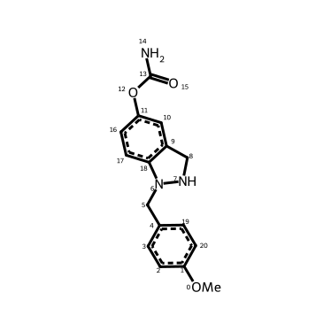 COc1ccc(CN2NCc3cc(OC(N)=O)ccc32)cc1